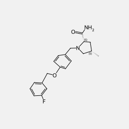 C[C@H]1C[C@@H](C(N)=O)N(Cc2ccc(OCc3cccc(F)c3)cc2)C1